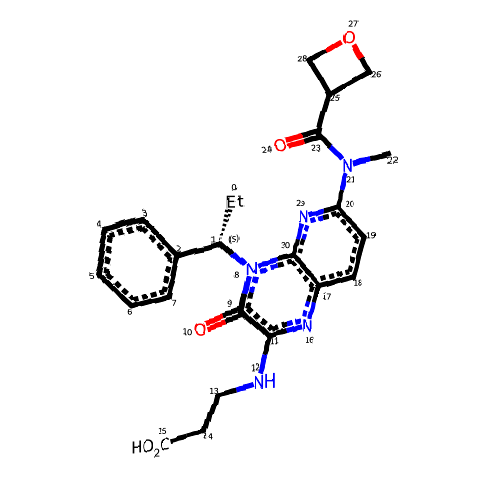 CC[C@@H](c1ccccc1)n1c(=O)c(NCCC(=O)O)nc2ccc(N(C)C(=O)C3COC3)nc21